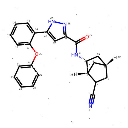 N#CC1C[C@@H]2C[C@H]1[C@H](NC(=O)c1cc(-c3ccccc3Oc3ccccc3)[nH]n1)C2